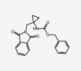 O=C(NC1(CN2C(=O)c3ccccc3C2=O)CC1)OCc1ccccc1